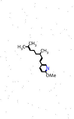 COc1ccc(/C=C/C(C)CCC=C(C)C)cn1